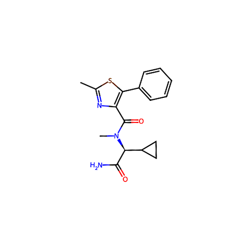 Cc1nc(C(=O)N(C)[C@H](C(N)=O)C2CC2)c(-c2ccccc2)s1